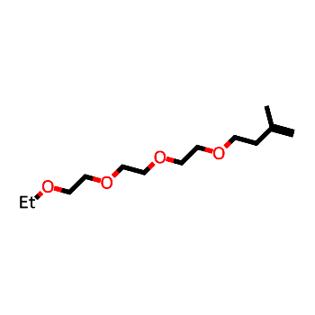 [CH2]COCCOCCOCCOCCC(=C)C